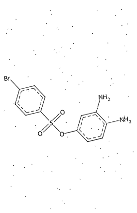 Nc1ccc(OS(=O)(=O)c2ccc(Br)cc2)cc1N